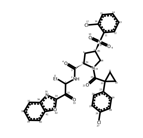 CCC(NC(=O)[C@@H]1C[C@@H](S(=O)(=O)c2ccccc2Cl)CN1C(=O)C1(c2ccc(Cl)cc2)CC1)C(=O)c1nc2ccccc2o1